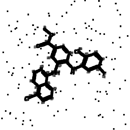 COC(=O)c1cnc(Nc2cc(F)ccc2Cl)c(Nc2nccc3c(Cl)cccc23)c1